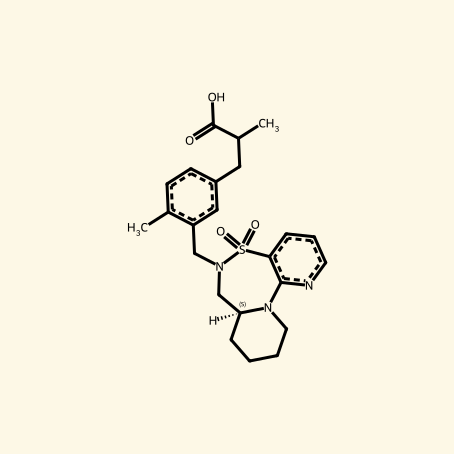 Cc1ccc(CC(C)C(=O)O)cc1CN1C[C@@H]2CCCCN2c2ncccc2S1(=O)=O